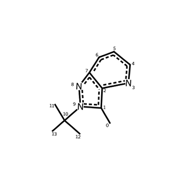 Cc1c2ncccc2nn1C(C)(C)C